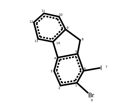 Brc1ccc2c(c1I)Cc1ccccc1-2